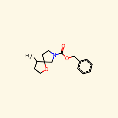 CC1CCOC12CCN(C(=O)OCc1ccccc1)C2